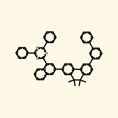 CC1(C)c2ccc(-c3cccc(-c4ccccc4)c3)cc2-c2ccc(-c3cc(-c4nc(-c5ccccc5)nc(-c5ccccc5)n4)c4ccccc4c3)cc2C1(C)C